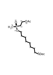 CCCCCCCCCCCCCCCCCCOP(C)(=O)CCOC(C)=O